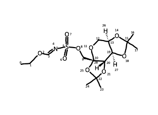 CCOC=NS(=O)(=O)OC[C@@]12OC[C@H]3OC(C)(C)O[C@H]3[C@@H]1OC(C)(C)O2